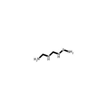 NCNCNSN